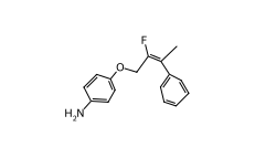 CC(=C(F)COc1ccc(N)cc1)c1ccccc1